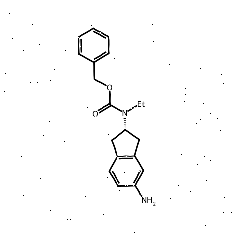 CCN(C(=O)OCc1ccccc1)[C@H]1Cc2ccc(N)cc2C1